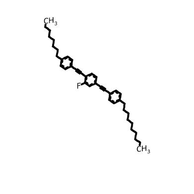 CCCCCCCCCCc1ccc(C#Cc2ccc(C#Cc3ccc(CCCCCCCC)cc3)c(F)c2)cc1